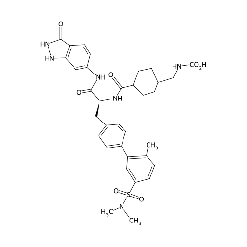 Cc1ccc(S(=O)(=O)N(C)C)cc1-c1ccc(C[C@H](NC(=O)C2CCC(CNC(=O)O)CC2)C(=O)Nc2ccc3c(=O)[nH][nH]c3c2)cc1